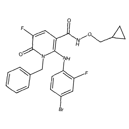 O=C(NOCC1CC1)c1cc(F)c(=O)n(Cc2ccccc2)c1Nc1ccc(Br)cc1F